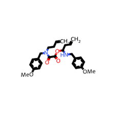 C=CCCN(Cc1ccc(OC)cc1)C(=O)C(=O)OC(CC=C)NCc1ccc(OC)cc1